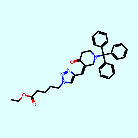 CCOC(=O)CCCCn1cc(C=C2CN(C(c3ccccc3)(c3ccccc3)c3ccccc3)CCC2=O)nn1